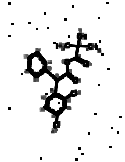 CC(C)(O)C(=O)OC(=O)C(c1ccccc1)c1ccc(Cl)cc1Cl